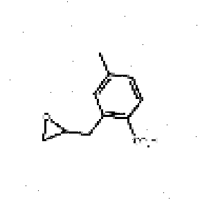 Cc1ccc(C(=O)O)c(CC2CO2)c1